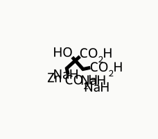 O=C(O)CC(O)(CC(=O)O)C(=O)O.[NaH].[NaH].[NaH].[Zn]